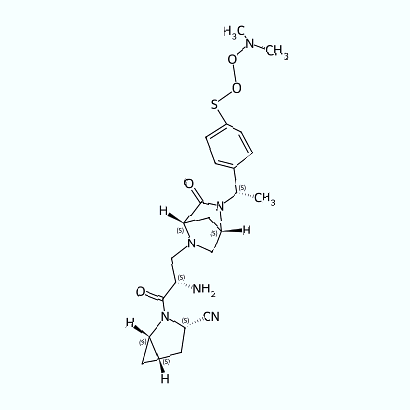 C[C@@H](c1ccc(SOON(C)C)cc1)N1C(=O)[C@@H]2C[C@H]1CN2C[C@H](N)C(=O)N1[C@H](C#N)C[C@@H]2C[C@@H]21